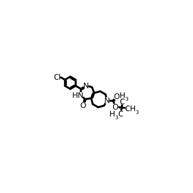 CC(C)(C)OC(=O)N1CCCC2=C(CC1)CN=C(c1ccc(Cl)cc1)NC2=O